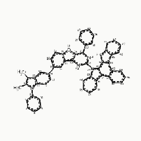 Cc1c(C)n(-c2ccccc2)c2ccc(-c3ccc4oc5c(-c6ccccc6)nc(-n6c7ccccc7c7c8ccccc8c8c9ccccc9sc8c76)nc5c4c3)cc12